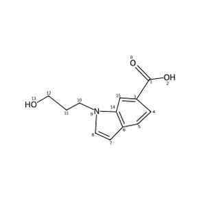 O=C(O)c1ccc2ccn(CCCO)c2c1